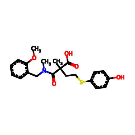 COc1ccccc1CN(C)C(=O)C(C)(CCSc1ccc(O)cc1)C(=O)O